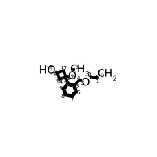 C=CCOCc1ccccc1C1(OC)CC(O)C1